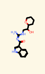 NC(=NC(=O)c1c[nH]c2ccccc12)NCC(O)C1CCCCO1